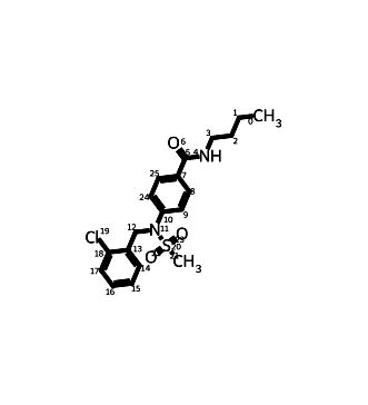 CCCCNC(=O)c1ccc(N(Cc2ccccc2Cl)S(C)(=O)=O)cc1